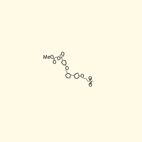 COC(=O)COC1(c2ccc(OCc3cccc(-c4ccc(OCCCS(C)(=O)=O)cc4)c3)cc2)COC1